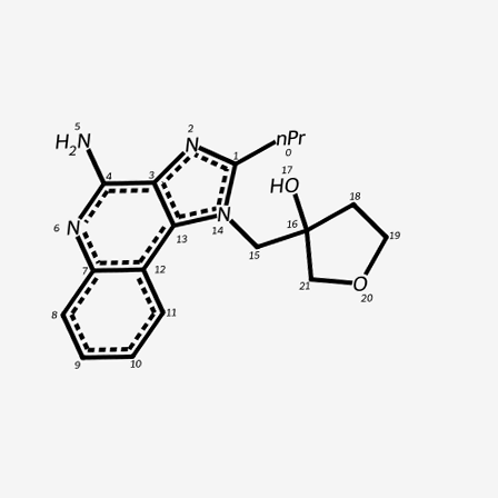 CCCc1nc2c(N)nc3ccccc3c2n1CC1(O)CCOC1